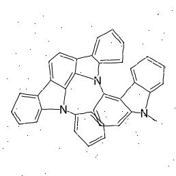 Cn1c2ccccc2c2c(-n3c4ccccc4c4ccc5c6ccccc6n(-c6ccccc6)c5c43)cccc21